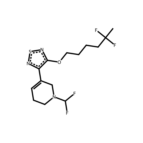 CC(F)(F)CCCCOc1nsnc1C1=CCCN(C(F)F)C1